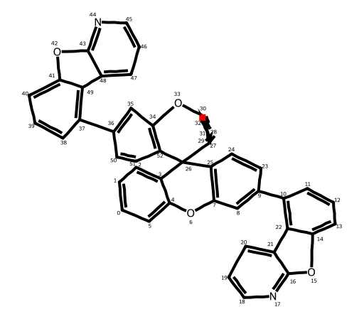 c1ccc2c(c1)Oc1cc(-c3cccc4oc5ncccc5c34)ccc1C21c2ccccc2Oc2cc(-c3cccc4oc5ncccc5c34)ccc21